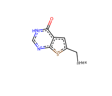 CCCCCCCc1cc2c(=O)[nH]cnc2s1